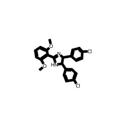 COc1cccc(OC)c1C1=NC(c2ccc(Cl)cc2)C(c2ccc(Cl)cc2)N1